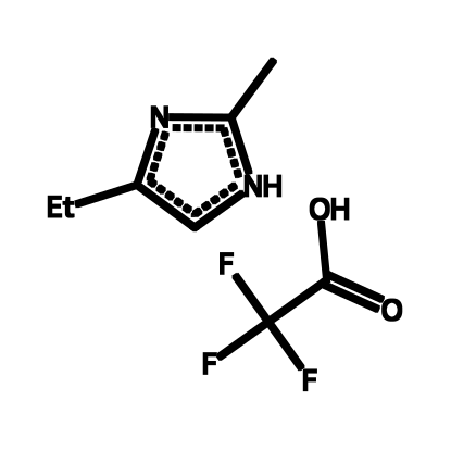 CCc1c[nH]c(C)n1.O=C(O)C(F)(F)F